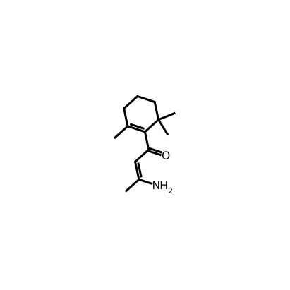 CC(N)=CC(=O)C1=C(C)CCCC1(C)C